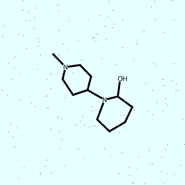 CN1CCC(N2CCCCC2O)CC1